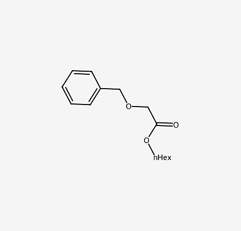 CCCCCCOC(=O)COCc1ccccc1